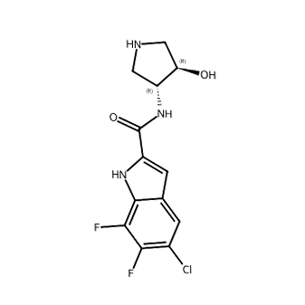 O=C(N[C@@H]1CNC[C@H]1O)c1cc2cc(Cl)c(F)c(F)c2[nH]1